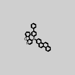 c1ccc(-c2ccc(N(c3ccc4c(ccc5c6ccccc6ccc45)c3)c3ccnc4oc5ccccc5c34)cc2)cc1